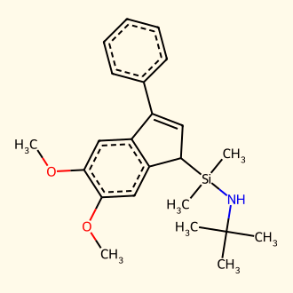 COc1cc2c(cc1OC)C([Si](C)(C)NC(C)(C)C)C=C2c1ccccc1